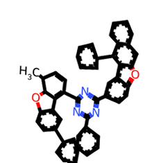 CC1C=CC(c2nc(-c3ccccc3)nc(-c3ccc4oc5cc6ccccc6c(-c6ccccc6)c5c4c3)n2)=C2c3cc(-c4ccccc4)ccc3OC21